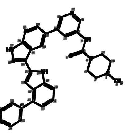 CN1CCN(C(=O)Nc2cncc(-c3cnc4[nH]nc(-c5cc6c(-c7ccncc7)cccc6[nH]5)c4c3)c2)CC1